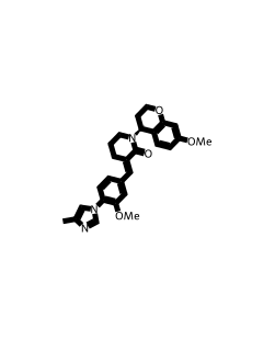 COc1ccc2c(c1)OCC[C@@H]2N1CCC/C(=C\c2ccc(-n3cnc(C)c3)c(OC)c2)C1=O